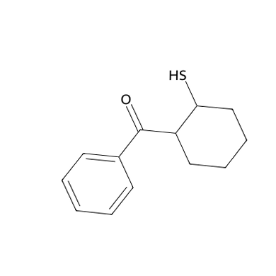 O=C(c1ccccc1)C1CCCCC1S